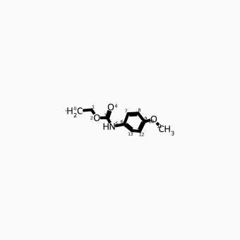 [CH2]COC(=O)Nc1ccc(OC)cc1